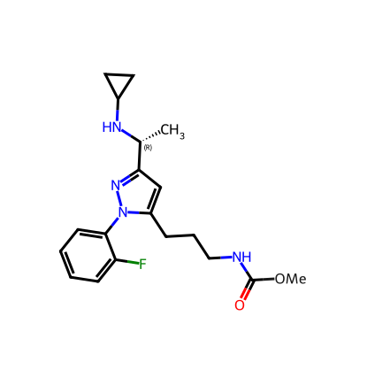 COC(=O)NCCCc1cc([C@@H](C)NC2CC2)nn1-c1ccccc1F